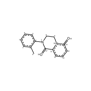 Cc1ccccc1N1CCn2c(cccc2=O)C1=O